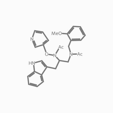 COc1ccccc1CN(CC(Cc1c[nH]c2ccccc12)N(Oc1cccnc1)C(C)=O)C(C)=O